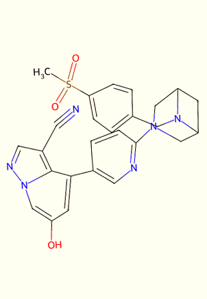 CS(=O)(=O)c1ccc(CN2C3CC2CN(c2ccc(-c4cc(O)cn5ncc(C#N)c45)cn2)C3)cc1